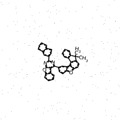 CC1(C)c2ccccc2-c2c1ccc1oc3ccc(-c4nc(-c5ccc6ccccc6c5)nc5oc6ccccc6c45)cc3c21